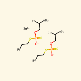 CCCCC(CC)COP([O-])(=S)SCCC(C)C.CCCCC(CC)COP([O-])(=S)SCCC(C)C.[Zn+2]